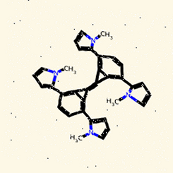 Cn1cccc1-c1ccc(-c2cccn2C)c2c1C2=C1c2c(-c3cccn3C)ccc(-c3cccn3C)c21